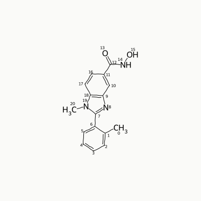 Cc1ccccc1-c1nc2cc(C(=O)NO)ccc2n1C